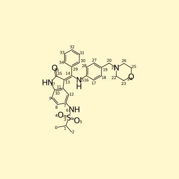 CC(C)S(=O)(=O)Nc1ccc2c(c1)C(=C(Nc1ccc(CN3CCOCC3)cc1)c1ccccc1)C(=O)N2